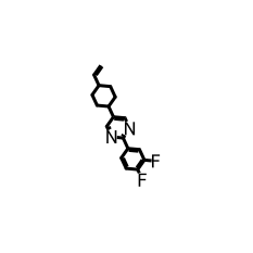 C=CC1CCC(c2cnc(-c3ccc(F)c(F)c3)nc2)CC1